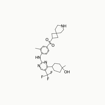 Cc1cc(S(=O)(=O)C2CC3(CCNCC3)C2)ccc1Nc1ncc(C(F)(F)F)c(C2CCC(C)(O)CC2)n1